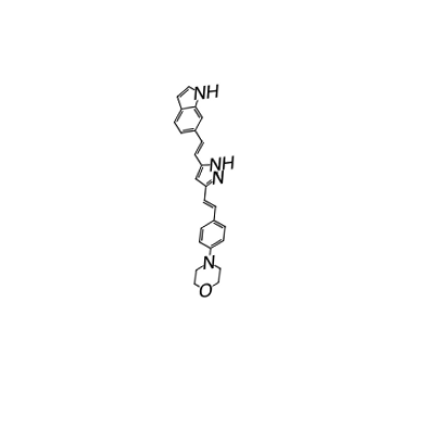 C(=C\c1cc(/C=C/c2ccc3cc[nH]c3c2)[nH]n1)/c1ccc(N2CCOCC2)cc1